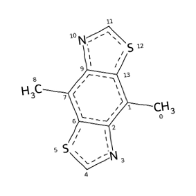 Cc1c2ncsc2c(C)c2ncsc12